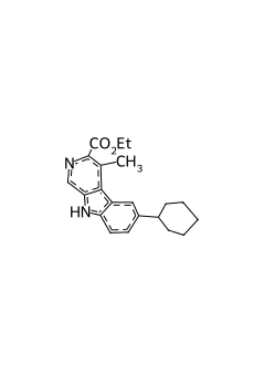 CCOC(=O)c1ncc2[nH]c3ccc(C4CCCCC4)cc3c2c1C